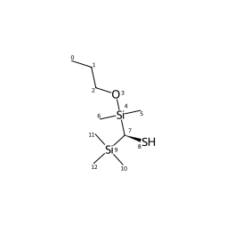 CCCO[Si](C)(C)[C@@H](S)[Si](C)(C)C